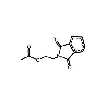 CC(=O)OCCN1C(=O)c2ccccc2C1=O